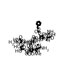 CO[C@@H]1[C@H](P(=O)([O-])OC[C@H]2O[C@@H](n3cnc4c(=O)[nH]c(N)nc43)[C@H](O)[C@@H]2O)[C@@H](COP(=O)(O)OP(=O)(O)OP(=O)(O)OC[C@H]2O[C@@H](n3c[n+](C)c4c(=O)[nH]c(N)nc43)[C@H](O)[C@@H]2COC(=O)OCc2ccccc2)O[C@H]1n1cnc2c(N)ncnc21